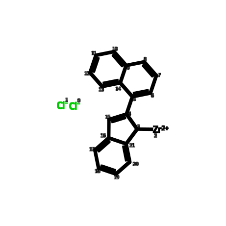 [Cl-].[Cl-].[Zr+2][CH]1C(c2cccc3ccccc23)=Cc2ccccc21